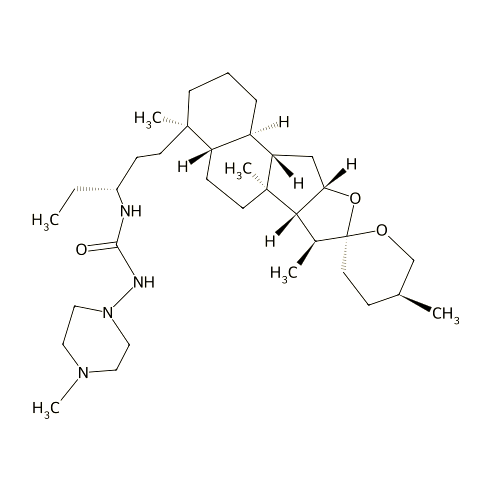 CC[C@H](CC[C@@]1(C)CCC[C@@H]2[C@@H]1CC[C@]1(C)[C@@H]3[C@H](C[C@@H]21)O[C@]1(CC[C@H](C)CO1)[C@H]3C)NC(=O)NN1CCN(C)CC1